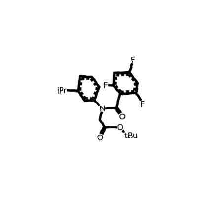 CC(C)c1cccc(N(CC(=O)OC(C)(C)C)C(=O)c2c(F)cc(F)cc2F)c1